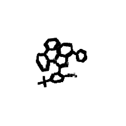 CC(C)(C)c1ccc(N)c(-c2nc3c(-c4ccccc4)cccc3n2-c2ccccc2-c2ccccc2)c1